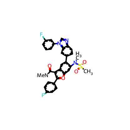 CNC(=O)c1c(-c2ccc(F)cc2)oc2cc(N(C)S(C)(=O)=O)c(-c3ccc4ncn(-c5cccc(F)c5)c4c3)cc12